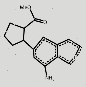 COC(=O)C1CCCC1c1cc(N)c2ccccc2c1